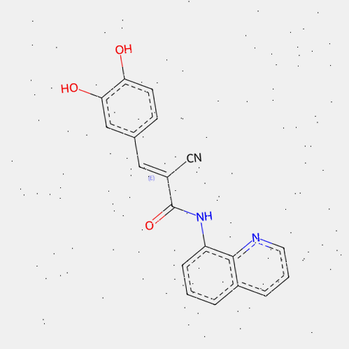 N#C/C(=C\c1ccc(O)c(O)c1)C(=O)Nc1cccc2cccnc12